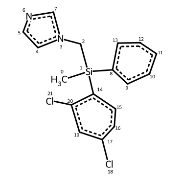 C[Si](Cn1ccnc1)(c1ccccc1)c1ccc(Cl)cc1Cl